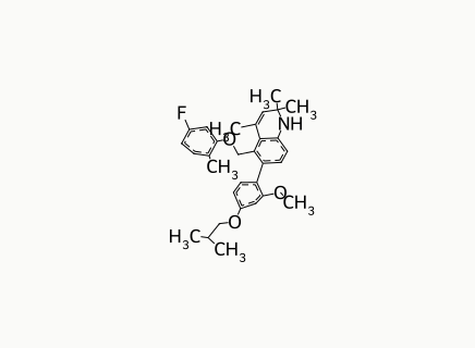 COc1cc(OCC(C)C)ccc1-c1ccc2c(c1COc1cc(F)ccc1C)C(C)=CC(C)(C)N2